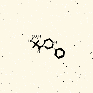 CC(C)(NC(=O)O)C(=O)N1CCN[C@H](c2ccccc2)C1